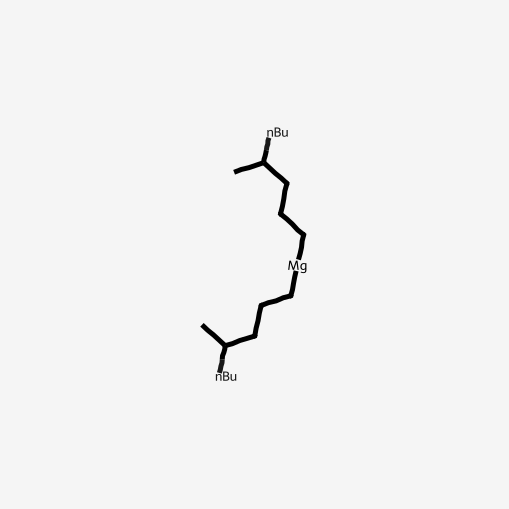 CCCCC(C)CC[CH2][Mg][CH2]CCC(C)CCCC